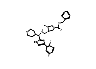 O=C(OCc1ccccc1)N1C[C@@H](CN[C@@H](c2nc(-c3cc(F)ccc3F)c[nH]2)C2CCOCC2)[C@@H](F)C1